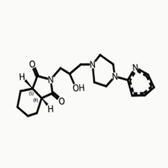 O=C1[C@H]2CCCC[C@H]2C(=O)N1CC(O)CN1CCN(c2ccccn2)CC1